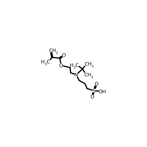 C=C(C)C(=O)OCCN(CCCS(=O)(=O)O)C(C)(C)C